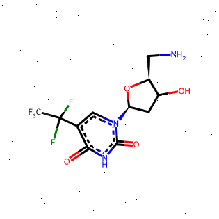 NC[C@@H]1O[C@H](n2cc(C(F)(F)C(F)(F)F)c(=O)[nH]c2=O)CC1O